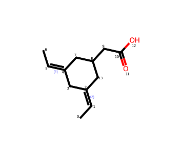 C/C=C1\C/C(=C/C)CC(CC(=O)O)C1